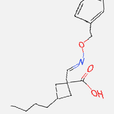 CCCCC1CC(/C=N/OCc2ccccc2)(C(=O)O)C1